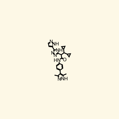 Cc1n[nH]c(C)c1-c1ccc(NC(=O)C(c2nnc(-c3ccn[nH]3)[nH]2)C(C2CC2)C2CC2)cc1